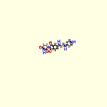 O=C1CCC(N2C(=O)c3ccc(NCCNC4CCNCC4)cc3C2=O)C(=O)N1